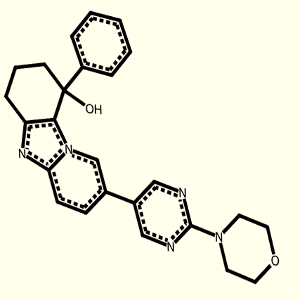 OC1(c2ccccc2)CCCc2nc3ccc(-c4cnc(N5CCOCC5)nc4)cn3c21